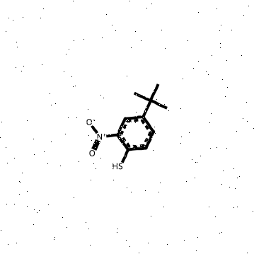 CC(C)(C)c1ccc(S)c([N+](=O)[O-])c1